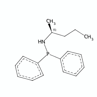 CCC[C@H](C)NP(c1ccccc1)c1ccccc1